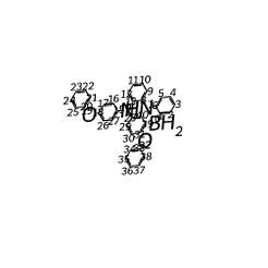 Bc1ccccc1Nc1ccccc1N(c1ccc(Oc2ccccc2)cc1)c1ccc(Oc2ccccc2)cc1